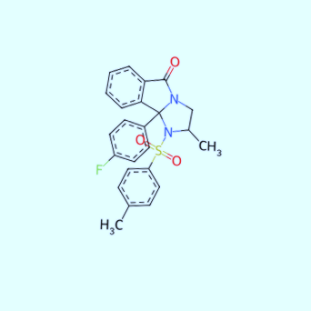 Cc1ccc(S(=O)(=O)N2C(C)CN3C(=O)c4ccccc4C32c2ccc(F)cc2)cc1